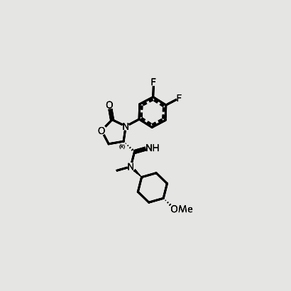 CO[C@H]1CC[C@H](N(C)C(=N)[C@@H]2COC(=O)N2c2ccc(F)c(F)c2)CC1